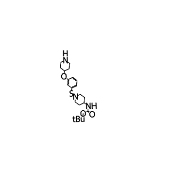 CC(C)(C)OC(=O)NC1CCN(Sc2cccc(OC3CCNCC3)c2)CC1